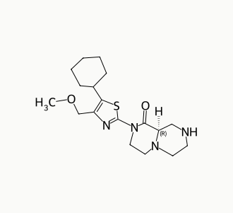 COCc1nc(N2CCN3CCNC[C@@H]3C2=O)sc1C1CCCCC1